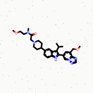 COCCN(C)C(=O)CN1CCC(c2ccc3[nH]c(-c4cc(COC)c5ncnn5c4)c(C(C)C)c3c2)CC1